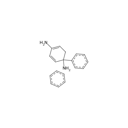 NC1=CCC(N)(c2ccccc2)C=C1.c1ccccc1